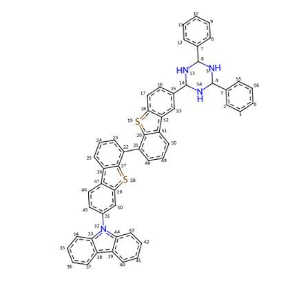 c1ccc(C2NC(c3ccccc3)NC(c3ccc4sc5c(-c6cccc7c6sc6cc(-n8c9ccccc9c9ccccc98)ccc67)cccc5c4c3)N2)cc1